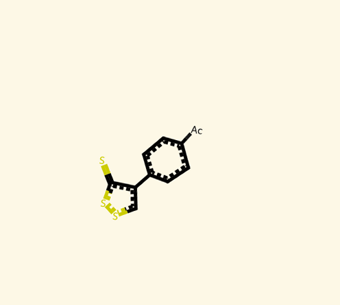 CC(=O)c1ccc(-c2cssc2=S)cc1